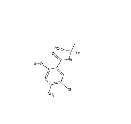 CC[C@](C)(NC(=O)c1cc(Cl)c(N)cc1OC)C(=O)O